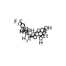 CC[C@@H]1C2[C@@H](F)[C@H](O)CC[C@]2(C)C2CC[C@@]3(C)C(CCC3[C@H](C)CCC(=O)NS(=O)(=O)c3ccc(C(F)(F)F)cc3)C2[C@@H]1O